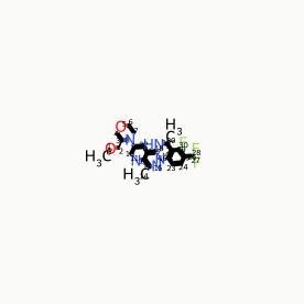 COC[C@H]1COCCN1c1cnc2c(C)nnc(N[C@H](C)c3cccc(C(F)F)c3F)c2c1